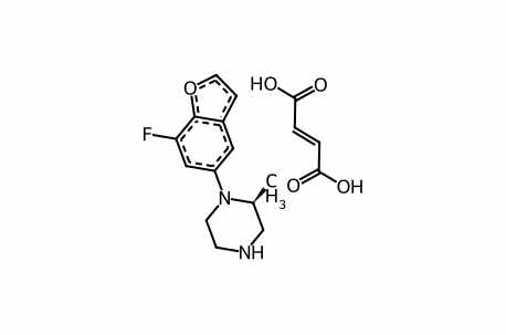 C[C@H]1CNCCN1c1cc(F)c2occc2c1.O=C(O)C=CC(=O)O